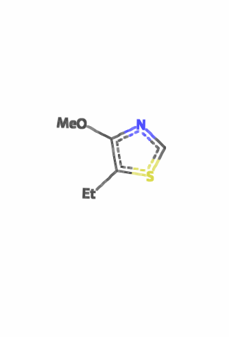 CCc1scnc1OC